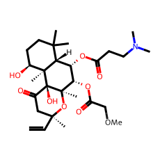 C=C[C@@]1(C)CC(=O)[C@]2(O)[C@@]3(C)[C@@H](O)CCC(C)(C)[C@@H]3[C@H](OC(=O)CCN(C)C)[C@H](OC(=O)COC)[C@@]2(C)O1